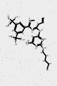 C=CC/C(=N\C(=N/C)c1cc(C(F)(F)F)cc(C(F)(F)F)c1)Sc1cc(Cl)nc(SCCCCC)n1